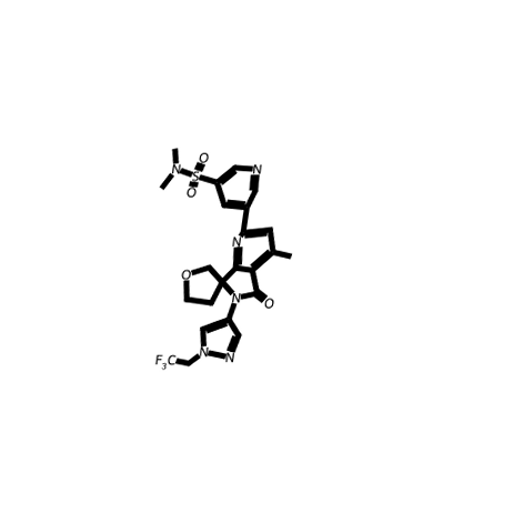 Cc1cc(-c2cncc(S(=O)(=O)N(C)C)c2)nc2c1C(=O)N(c1cnn(CC(F)(F)F)c1)C21CCOC1